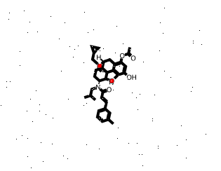 CC(=O)Oc1cc(O)c2c3c1C[C@@H]1[C@@H]4CC[C@@H](N(CC(C)C)C(=O)C=Cc5cccc(C)c5)[C@H](O2)[C@]34CCN1CC1CC1